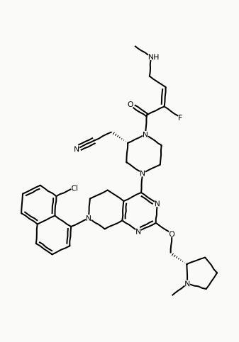 CNC/C=C(/F)C(=O)N1CCN(c2nc(OC[C@@H]3CCCN3C)nc3c2CCN(c2cccc4cccc(Cl)c24)C3)C[C@@H]1CC#N